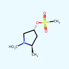 C[C@@H]1C[C@@H](OS(C)(=O)=O)CN1C(=O)O